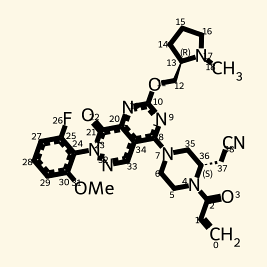 C=CC(=O)N1CCN(c2nc(OC[C@H]3CCCN3C)nc3c(=O)n(-c4c(F)cccc4OC)ncc23)C[C@@H]1CC#N